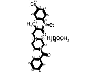 CCN(C(=O)C(C)CN1CCN(C(=O)c2ccccc2)CC1)c1cc[c]([Ge])cc1.O.O.O